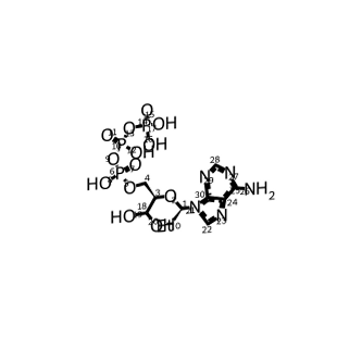 CC[C@@H](O[C@H](COP(=O)(O)OP(=O)(O)OP(=O)(O)O)C(O)O)n1cnc2c(N)ncnc21